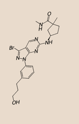 CNC(=O)C1(C)CC[C@@H](Nc2ncc3c(Br)nn(-c4cccc(CCCO)c4)c3n2)C1